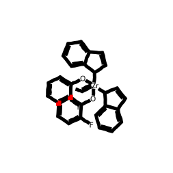 C[CH]=[Zr]([O]c1ccccc1F)([O]c1ccccc1F)([CH]1C=Cc2ccccc21)[CH]1C=Cc2ccccc21